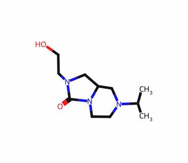 CC(C)N1CCN2C(=O)N(CCO)CC2C1